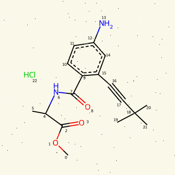 COC(=O)C(C)NC(=O)c1ccc(N)cc1C#CC(C)(C)C.Cl